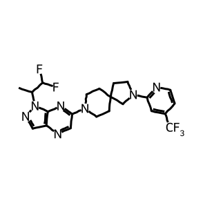 CC(C(F)F)n1ncc2ncc(N3CCC4(CCN(c5cc(C(F)(F)F)ccn5)C4)CC3)nc21